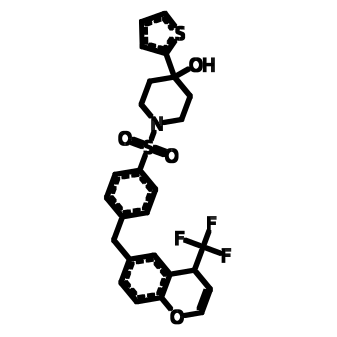 O=S(=O)(c1ccc(Cc2ccc3c(c2)C(C(F)(F)F)C=CO3)cc1)N1CCC(O)(c2cccs2)CC1